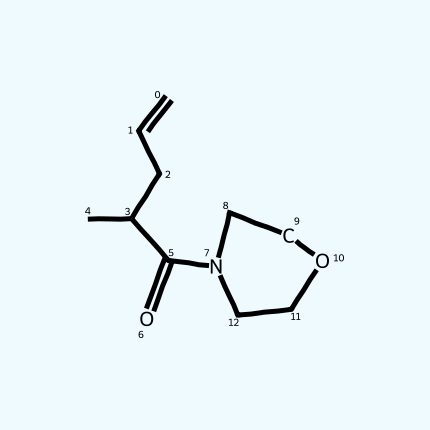 C=CCC(C)C(=O)N1CCOCC1